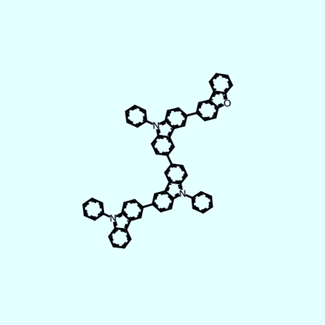 c1ccc(-n2c3ccccc3c3cc(-c4ccc5c(c4)c4cc(-c6ccc7c(c6)c6cc(-c8ccc9oc%10ccccc%10c9c8)ccc6n7-c6ccccc6)ccc4n5-c4ccccc4)ccc32)cc1